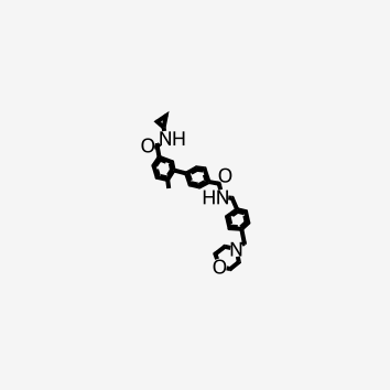 Cc1ccc(C(=O)NC2CC2)cc1-c1ccc(C(=O)NCc2ccc(CN3CCOCC3)cc2)cc1